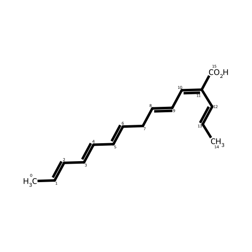 CC=CC=CC=CCC=CC=C(C=CC)C(=O)O